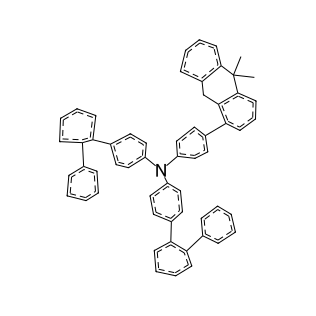 CC1(C)c2ccccc2Cc2c(-c3ccc(N(c4ccc(-c5ccccc5-c5ccccc5)cc4)c4ccc(-c5ccccc5-c5ccccc5)cc4)cc3)cccc21